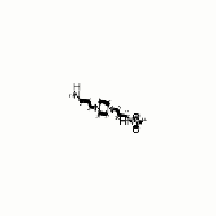 CNCCCN1CCN(CCCNS(C)(=O)=O)CC1